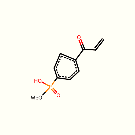 C=CC(=O)c1ccc(P(=O)(O)OC)cc1